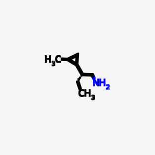 CC[C@@H](CN)C1CC1C